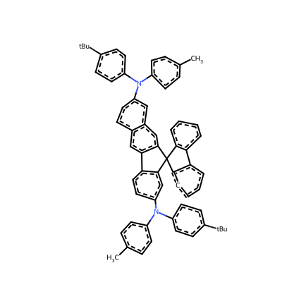 Cc1ccc(N(c2ccc(C(C)(C)C)cc2)c2ccc3c(c2)C2(c4ccccc4-c4ccccc42)c2cc4cc(N(c5ccc(C)cc5)c5ccc(C(C)(C)C)cc5)ccc4cc2-3)cc1